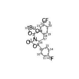 CC(C)(C)OC(=O)N1C(=O)OC(c2ccc(F)cc2)C1Cc1ccc(C(F)(F)F)cc1